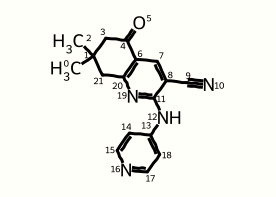 CC1(C)CC(=O)c2cc(C#N)c(Nc3ccncc3)nc2C1